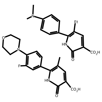 CCc1cc(C(=O)O)c(=O)[nH]c1-c1ccc(N(C)C)cc1.Cc1cc(C(=O)O)c(=O)[nH]c1-c1ccc(N2CCOCC2)c(F)c1